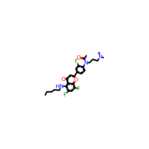 CCCCCNc1c(F)cc(F)c2oc(-c3ccc(N(CCCN(C)C)C(C)=O)c(F)c3)cc(=O)c12